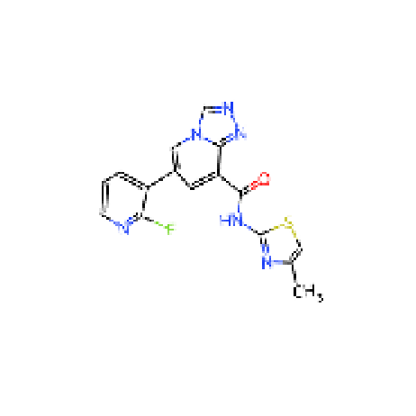 Cc1csc(NC(=O)c2cc(-c3cccnc3F)cn3cnnc23)n1